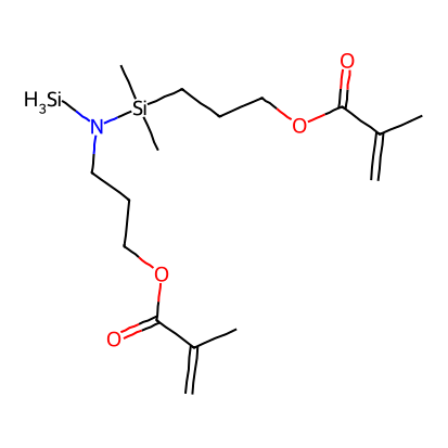 C=C(C)C(=O)OCCCN([SiH3])[Si](C)(C)CCCOC(=O)C(=C)C